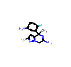 CC1(c2cc(N)ccc2F)N=C(N)Cn2nc(C(F)(F)F)cc21